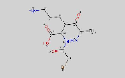 CC(N)C(=O)C(CCCN)C(NC(=O)CBr)C(=O)O